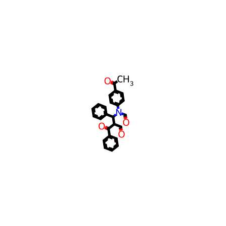 CC(=O)c1ccc(N(C=O)C(c2ccccc2)C(C=O)C(=O)c2ccccc2)cc1